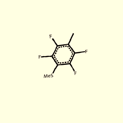 CSc1c(F)c(F)c(C)c(F)c1F